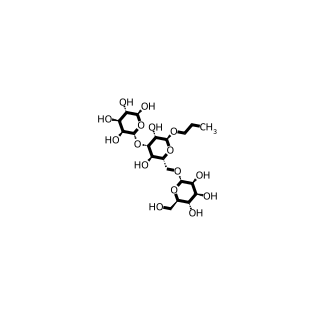 CCCO[C@H]1O[C@H](CO[C@H]2O[C@H](CO)[C@@H](O)[C@H](O)[C@@H]2O)[C@@H](O)[C@H](O[C@H]2O[C@H](O)[C@@H](O)[C@H](O)[C@@H]2O)[C@@H]1O